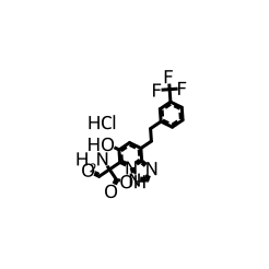 Cl.NC(C=O)(C(=O)O)c1c(O)cc(CCc2cccc(C(F)(F)F)c2)c2ncnn12